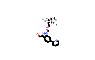 C[Si](C)(C)CCOCn1nc(C=O)c2ccc(-c3ccccn3)cc21